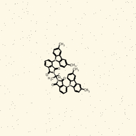 Cc1ccc2c(c1)c1cc(C)ccc1n2-c1cccc2c1C(=O)N(C(C)(C)N1C(=O)c3cccc(-n4c5ccc(C)cc5c5cc(C)ccc54)c3C1=O)C2=O